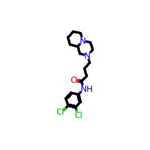 O=C(CCCN1CCN2CCCCC2C1)Nc1ccc(Cl)c(Cl)c1